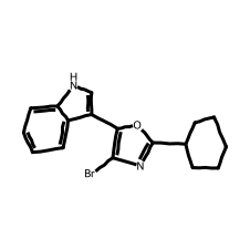 Brc1nc(C2CCCCC2)oc1-c1c[nH]c2ccccc12